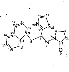 O=C1CCCN1/N=C(/Cc1ccnc2ccccc12)c1nccs1